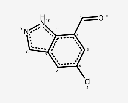 O=Cc1cc(Cl)cc2cn[nH]c12